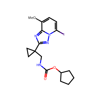 COc1ccc(I)n2nc(C3(CNC(=O)OC4CCCC4)CC3)nc12